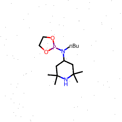 CCCCN(C1CC(C)(C)NC(C)(C)C1)P1OCCO1